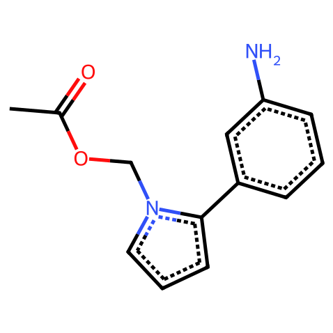 CC(=O)OCn1cccc1-c1cccc(N)c1